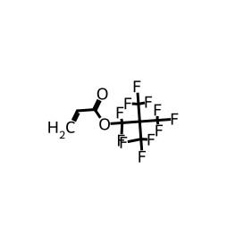 C=CC(=O)OC(F)(F)C(C(F)(F)F)(C(F)(F)F)C(F)(F)F